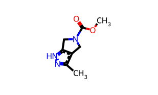 COC(=O)N1Cc2[nH]nc(C)c2C1